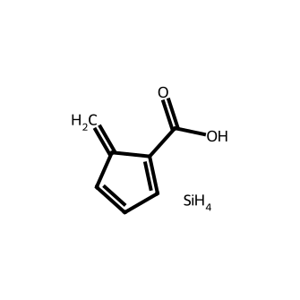 C=C1C=CC=C1C(=O)O.[SiH4]